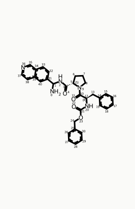 NC(NC(=O)[C@@H]1CCCN1C(=O)[C@@H](Cc1ccccc1)NC(=O)OCc1ccccc1)c1ccc2cnccc2c1